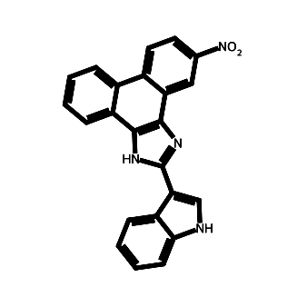 O=[N+]([O-])c1ccc2c3ccccc3c3[nH]c(-c4c[nH]c5ccccc45)nc3c2c1